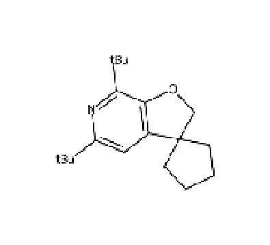 CC(C)(C)c1cc2c(c(C(C)(C)C)n1)OCC21CCCC1